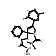 CN(C)C(=O)N1CC(c2cc(F)ccc2F)=CC1(CCC(=O)OC(C)(C)C)c1ccccc1